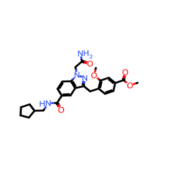 COC(=O)c1ccc(Cc2nn(CC(N)=O)c3ccc(C(=O)NCC4CCCC4)cc23)c(OC)c1